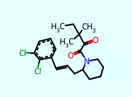 CCC(C)(C)C(=O)C(=O)N1CCCCC1CC=Cc1cccc(Cl)c1Cl